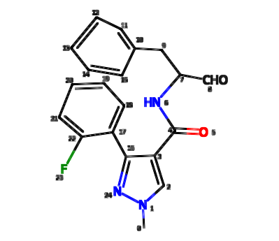 Cn1cc(C(=O)NC(C=O)Cc2ccccc2)c(-c2ccccc2F)n1